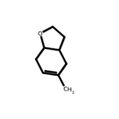 CC1=CCC2OCCC2C1